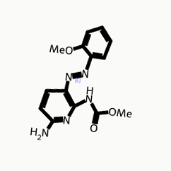 COC(=O)Nc1nc(N)ccc1/N=N/c1ccccc1OC